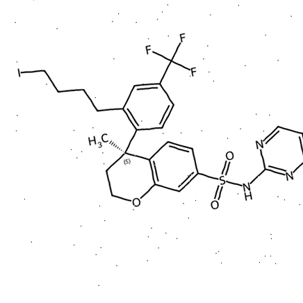 C[C@@]1(c2ccc(C(F)(F)F)cc2CCCCI)CCOc2cc(S(=O)(=O)Nc3ncccn3)ccc21